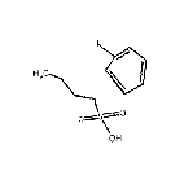 CCCCS(=O)(=O)O.Ic1ccccc1